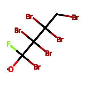 [O]C(F)(Br)C(Br)(Br)C(Br)(Br)CBr